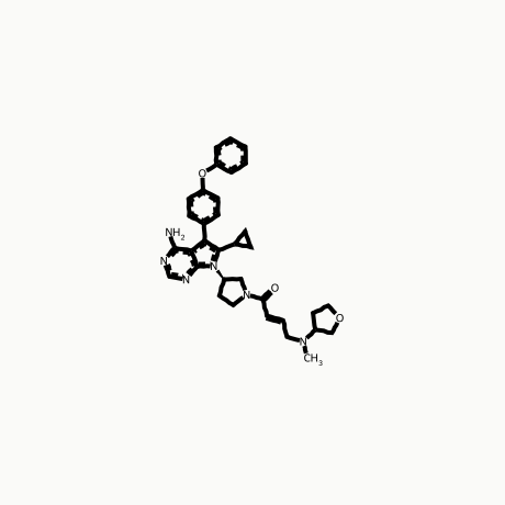 CN(C/C=C/C(=O)N1CC[C@@H](n2c(C3CC3)c(-c3ccc(Oc4ccccc4)cc3)c3c(N)ncnc32)C1)C1CCOC1